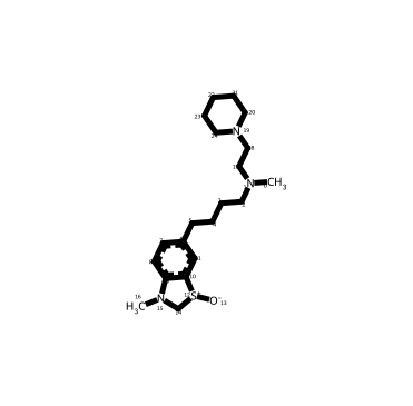 CN(CCCCc1ccc2c(c1)[S+]([O-])CN2C)CCN1CCCCC1